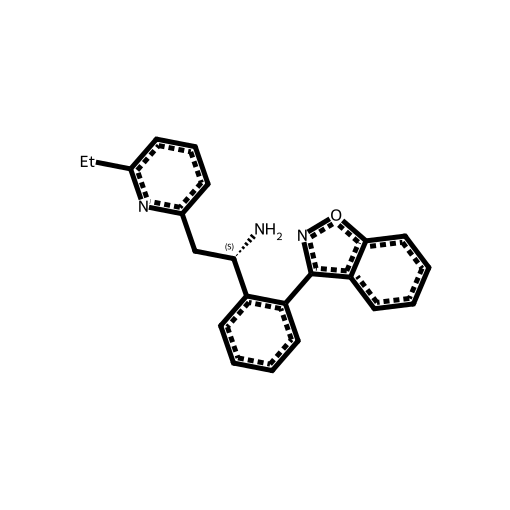 CCc1cccc(C[C@H](N)c2ccccc2-c2noc3ccccc23)n1